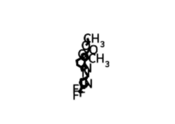 CCOC(=O)c1oc2c(c1C)-c1nn(Cc3ccc(C(F)(F)F)cn3)cc1CC2